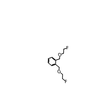 FCCOCc1ccccc1COCCF